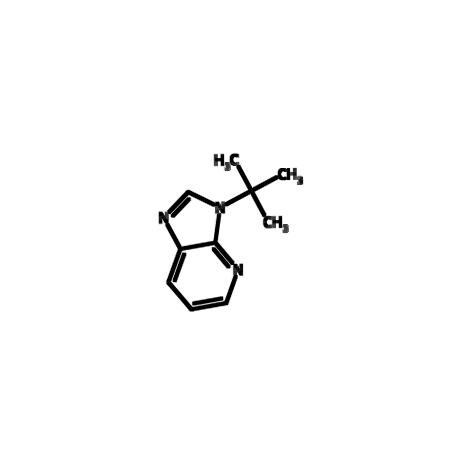 CC(C)(C)n1cnc2cccnc21